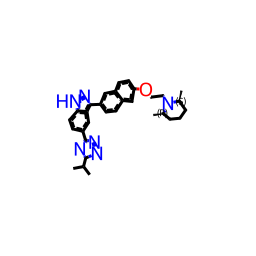 CC(C)C1N=NC(c2ccc3[nH]nc(-c4ccc5cc(OCCN6[C@H](C)CCC[C@@H]6C)ccc5c4)c3c2)=N1